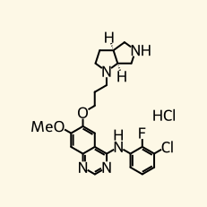 COc1cc2ncnc(Nc3cccc(Cl)c3F)c2cc1OCCCN1CC[C@H]2CNC[C@H]21.Cl